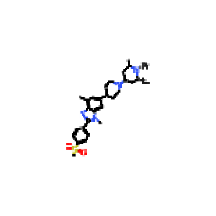 CCC1CC(N2CCC(c3cc(C)c4nc(-c5ccc(S(C)(=O)=O)cc5)n(C)c4c3)CC2)CC(C)N1C(C)C